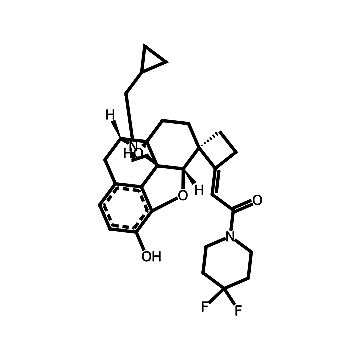 O=C(/C=C1\CC[C@]12CC[C@@]1(O)[C@H]3Cc4ccc(O)c5c4[C@@]1(CCN3CC1CC1)[C@H]2O5)N1CCC(F)(F)CC1